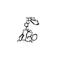 C[C@@]1(c2cc(F)cc(F)c2)CN([11CH3])C2(CCCCCC2)C(=O)N1CC(=O)Nc1ccc2c(c1)C[C@@]1(C2)C(=O)Nc2ncccc21